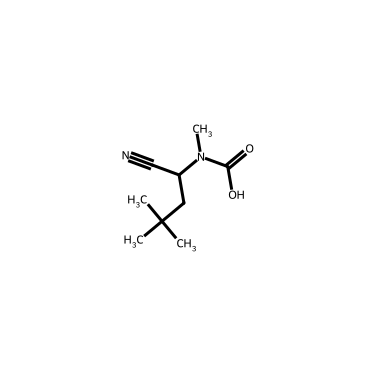 CN(C(=O)O)C(C#N)CC(C)(C)C